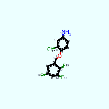 Nc1ccc(OCc2cc(F)cc(F)c2F)c(Cl)c1